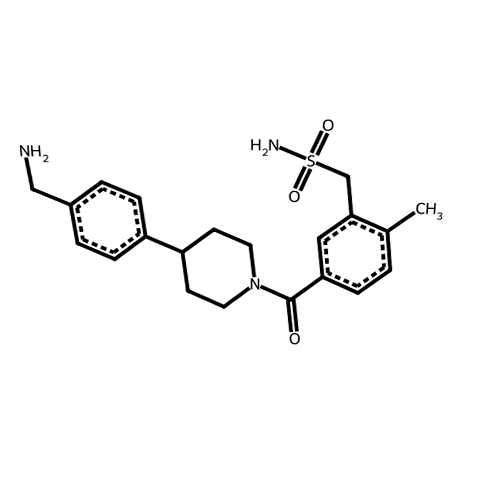 Cc1ccc(C(=O)N2CCC(c3ccc(CN)cc3)CC2)cc1CS(N)(=O)=O